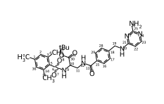 Cc1cc(C)c(S(=O)(=O)NC(CNC(=O)c2ccc(CNc3ccnc(N)n3)cc2)C(=O)OC(C)(C)C)c(C)c1